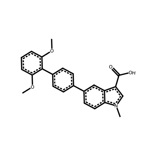 COc1cccc(OC)c1-c1ccc(-c2ccc3c(c2)c(C(=O)O)cn3C)cc1